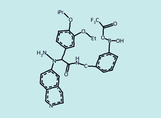 CCOc1cc(C(C(=O)NCc2cccc(B(O)OC(=O)C(F)(F)F)c2)N(N)c2ccc3cnccc3c2)ccc1OC(C)C